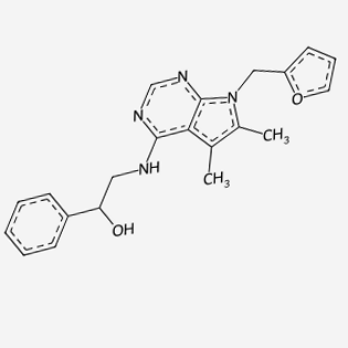 Cc1c(C)n(Cc2ccco2)c2ncnc(NCC(O)c3ccccc3)c12